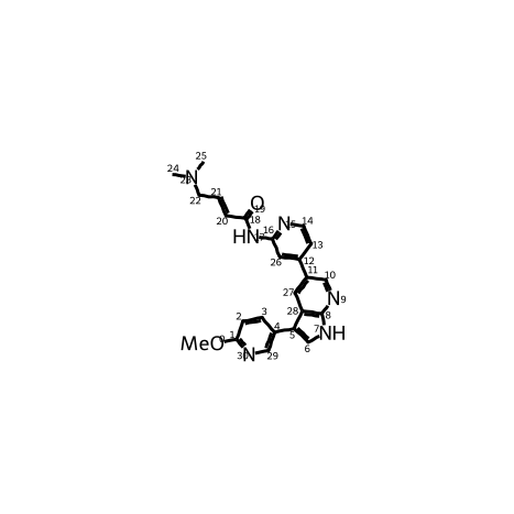 COc1ccc(-c2c[nH]c3ncc(-c4ccnc(NC(=O)C=CCN(C)C)c4)cc23)cn1